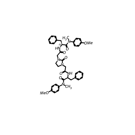 COc1ccc(N(C)C(=O)C(Cc2ccccc2)NC(=O)CN2CCN(CC(=O)N[C@@H](Cc3ccccc3)C(=O)N(C)c3ccc(OC)cc3)C2=O)cc1